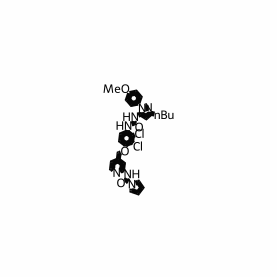 CCCCc1cc(NC(=O)Nc2ccc(OCc3ccnc(NC(=O)N4CCCC4)c3)c(Cl)c2Cl)n(-c2ccc(OC)cc2)n1